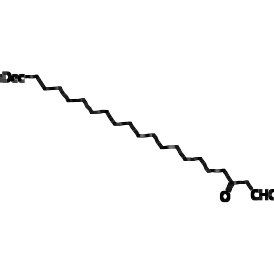 CCCCCCCCCCCCCCCCCCCCCCCCCCCC(=O)CC=O